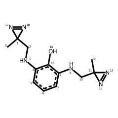 CC1(CNc2cccc(NCC3(C)N=N3)c2O)N=N1